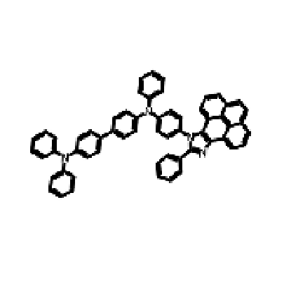 c1ccc(-c2nc3c4cccc5ccc6cccc(c6c54)c3n2-c2ccc(N(c3ccccc3)c3ccc(-c4ccc(N(c5ccccc5)c5ccccc5)cc4)cc3)cc2)cc1